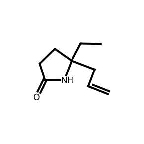 C=CCC1(CC)CCC(=O)N1